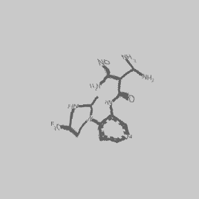 CC1NC(C(F)(F)F)CN1c1ccncc1NC(=O)C(C(N)N)C(N)N=O